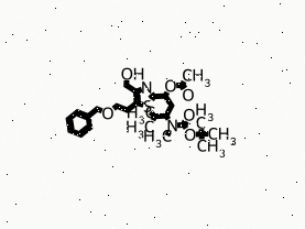 CC(=O)OC(CC(C(C)C)N(C)C(=O)OC(C)(C)C)c1nc(CO)c(CCOCc2ccccc2)s1